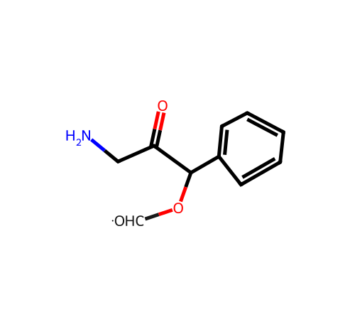 NCC(=O)C(O[C]=O)c1ccccc1